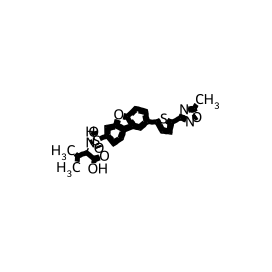 Cc1nc(-c2ccc(-c3ccc4oc5cc(S(=O)(=O)N[C@H](C(=O)O)C(C)C)ccc5c4c3)s2)no1